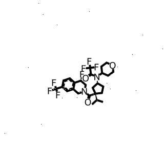 CC(C)[C@]1(C(=O)N2Cc3cc(C(F)(F)F)ccc3[C@H](F)C2)CC[C@@H](N(C(=O)C(F)(F)F)C2CCOCC2)C1